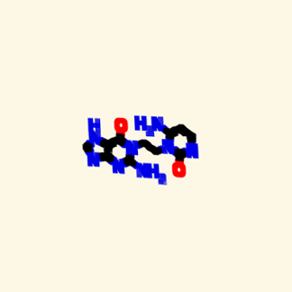 Nc1ccnc(=O)n1CCn1c(N)nc2nc[nH]c2c1=O